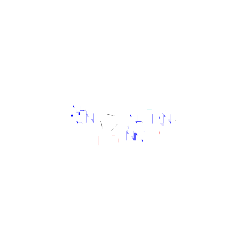 C[C@@]12CCC(C[C@H](Oc3cnc(-c4ccc(-n5cnnc5)cc4O)nn3)[C@@H]1F)N2